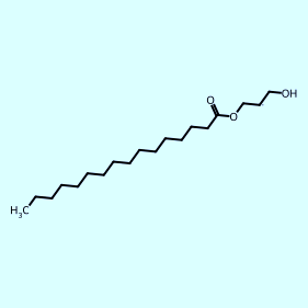 CCCCCCCCCCCCCCCC(=O)OC[CH]CO